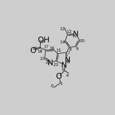 CCOC(C)n1nc(-c2ccnc(C)c2)c2cc(C(=O)O)cnc21